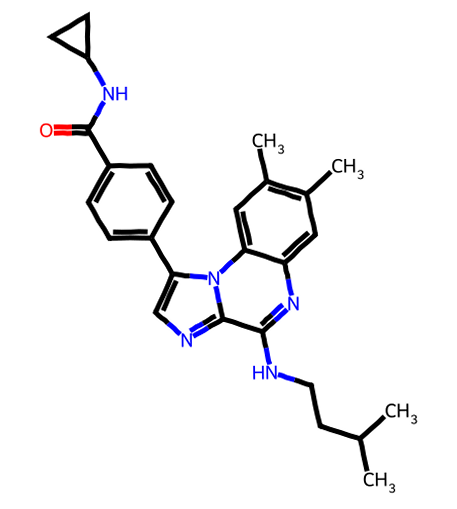 Cc1cc2nc(NCCC(C)C)c3ncc(-c4ccc(C(=O)NC5CC5)cc4)n3c2cc1C